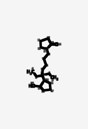 CC[N+](CC)(CCCCN1CCCC1=O)N1CCCC1O